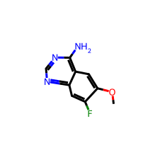 COc1cc2c(N)ncnc2cc1F